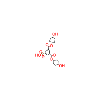 O=C(OC1CCC(O)CC1)c1cc(C(=O)OC2CCC(O)CC2)cc(S(=O)(=O)O)c1